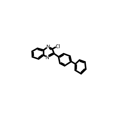 Clc1nc2ccccc2nc1-c1ccc(-c2ccccc2)cc1